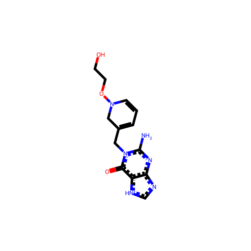 Nc1nc2nc[nH]c2c(=O)n1CC1=CC=CN(OCCO)C1